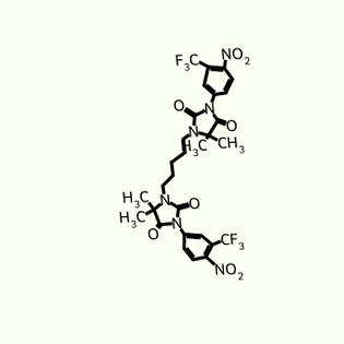 CC1(C)C(=O)N(c2ccc([N+](=O)[O-])c(C(F)(F)F)c2)C(=O)N1CCCCCN1C(=O)N(c2ccc([N+](=O)[O-])c(C(F)(F)F)c2)C(=O)C1(C)C